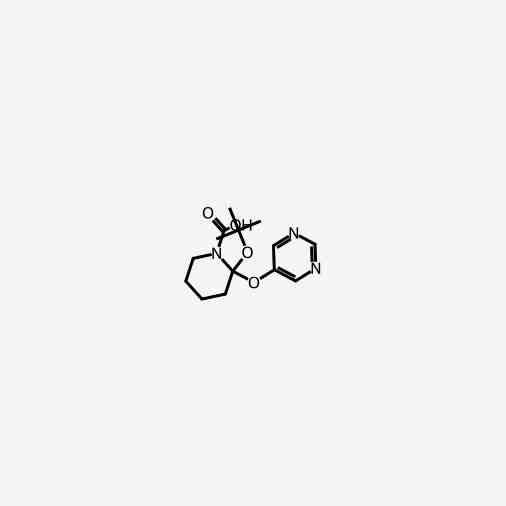 CC(C)(C)OC1(Oc2cncnc2)CCCCN1C(=O)O